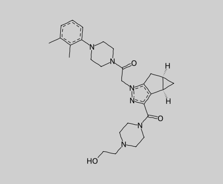 Cc1cccc(N2CCN(C(=O)Cn3nc(C(=O)N4CCN(CCO)CC4)c4c3C[C@H]3C[C@@H]43)CC2)c1C